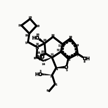 CC[C@H](O)[C@@H]1Oc2c(O)ccc3c2[C@@]12CCN(CC1CCC1)[C@](O)(C3)[C@@]2(C)O